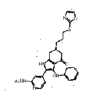 CC(=O)Nc1cc(-c2[nH]c3c(c2NC2=CC=CCC2)C(=O)CC(CCCSc2ncco2)C3)ccn1